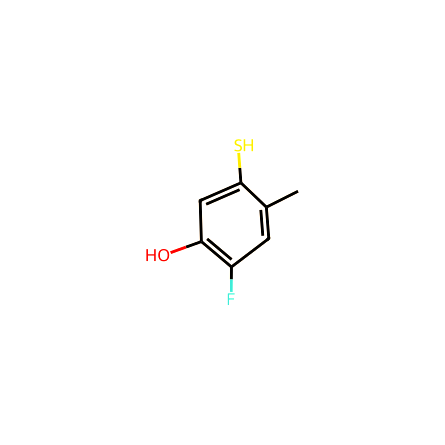 Cc1cc(F)c(O)cc1S